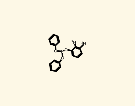 [2H]c1cccc(OP(Oc2ccccc2)Oc2ccccc2)c1[2H]